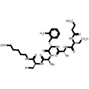 Cc1ccccc1C[C@H](NC(=O)[C@H](NC(=O)[C@H](CC(=O)O)NC(=O)CCC(=O)O)C(C)C)C(=O)N[C@H](C(=O)N[C@@H](CC(C)C)C(=O)NCCCCCC=O)C(C)(C)C